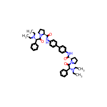 CCN(CC)[C@H](C(=O)N1CCC[C@H]1C(=O)Nc1ccc(-c2ccc(NC(=O)[C@@H]3CCCN3C(=O)[C@H](c3ccccc3)N(CC)CC)cc2)cc1)c1ccccc1